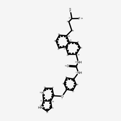 O=C(Nc1ccc(Oc2ccnc3[nH]ccc23)cc1)Nc1ccc2c(CCC(F)F)cccc2c1